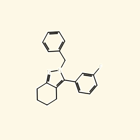 Fc1cccc(-c2c3c(nn2Cc2ccccc2)CCCC3)c1